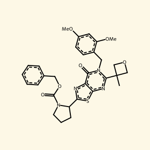 COc1ccc(Cn2c(C3(C)COC3)nc3sc(C4CCCN4C(=O)OCc4ccccc4)nc3c2=O)c(OC)c1